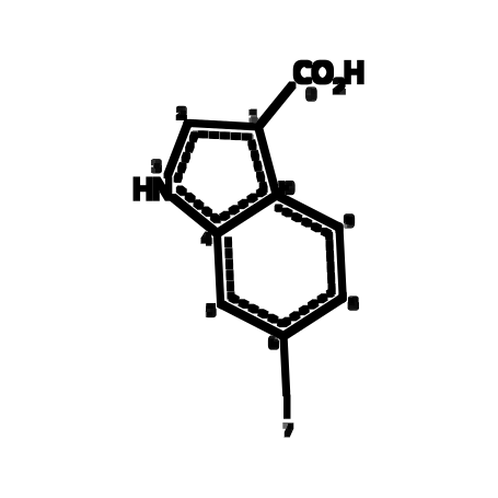 O=C(O)c1c[nH]c2cc(I)ccc12